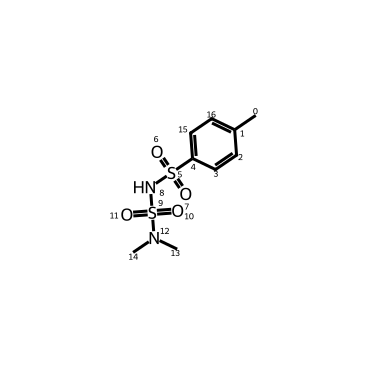 Cc1ccc(S(=O)(=O)NS(=O)(=O)N(C)C)cc1